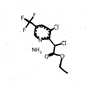 CCOC(=O)C(Cl)c1ncc(C(F)(F)F)cc1Cl.N